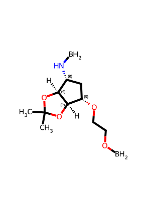 BN[C@@H]1C[C@H](OCCOB)[C@H]2OC(C)(C)O[C@H]21